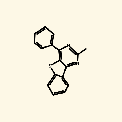 Ic1nc(-c2ccccc2)c2sc3ccccc3c2n1